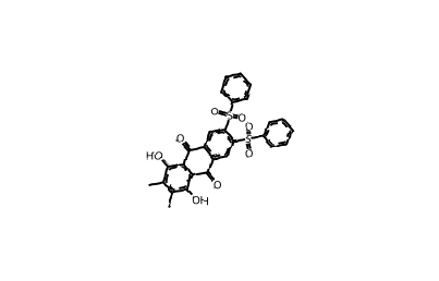 Cc1c(C)c(O)c2c(c1O)C(=O)c1cc(S(=O)(=O)c3ccccc3)c(S(=O)(=O)c3ccccc3)cc1C2=O